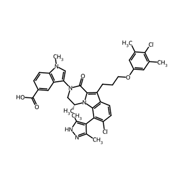 Cc1cc(OCCCc2c3n(c4c(-c5c(C)n[nH]c5C)c(Cl)ccc24)[C@H](C)CN(c2cn(C)c4ccc(C(=O)O)cc24)C3=O)cc(C)c1Cl